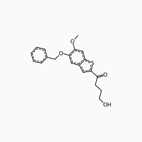 COc1cc2sc(C(=O)CCCO)cc2cc1OCc1ccccc1